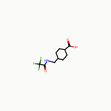 O=C(O)C1CCC(CNC(=O)C(F)(F)F)CC1